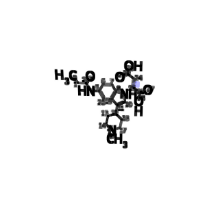 CCC(=O)Nc1ccc2[nH]cc(C3CCN(C)CC3)c2c1.O=C(O)/C=C/C(=O)O